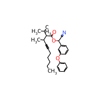 CCCCCC#CC(C)C(C(=O)OC(C#N)c1cccc(Oc2ccccc2)c1)C(C)C